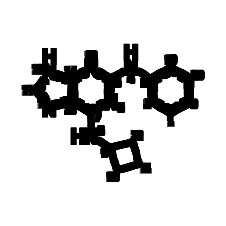 c1ccc(Nc2nc(NC3CCC3)c3nc[nH]c3n2)cc1